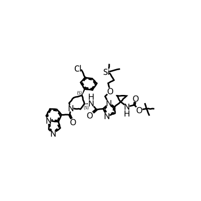 CC(C)(C)OC(=O)NC1(c2cnc(C(=O)N[C@@H]3CN(C(=O)c4cccn5cncc45)CC[C@H]3c3cccc(Cl)c3)n2COCC[Si](C)(C)C)CC1